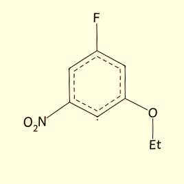 CCOc1[c]c([N+](=O)[O-])cc(F)c1